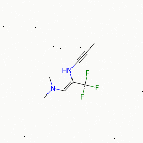 CC#CN/C(=C\N(C)C)C(F)(F)F